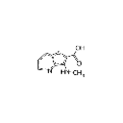 CNc1c(C(=O)O)sc2cccnc12